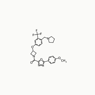 COc1ccc(-c2nnc(C(=O)N3CC(Oc4ccc(CN5CCCC5)c(C(F)(F)F)c4)C3)o2)cc1